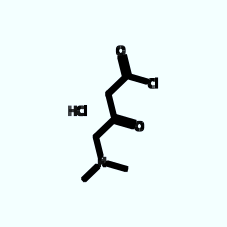 CN(C)CC(=O)CC(=O)Cl.Cl